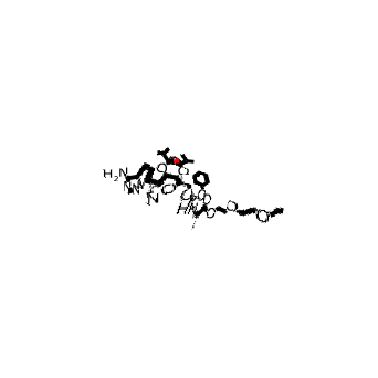 C=NC[C@@]1(c2ccc3c(N)ncnn23)O[C@H](COP(N[C@@H](C)C(=O)OCCOCCOCC)Oc2ccccc2)[C@@H](OC(=O)C(C)C)[C@H]1OC(=O)C(C)C